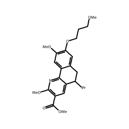 COCCCOc1cc2c(cc1OC)-c1nc(OC)c(C(=O)OC)cc1C(C(C)C)C2